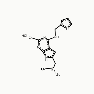 CC(C)(C)[C@H](N)Cc1cc2c(NCc3ccco3)nc(Cl)nc2[nH]1.Cl